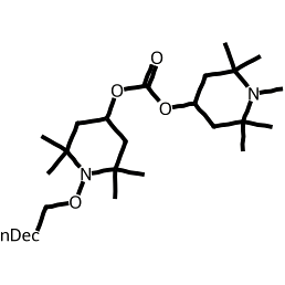 CCCCCCCCCCCON1C(C)(C)CC(OC(=O)OC2CC(C)(C)N(C)C(C)(C)C2)CC1(C)C